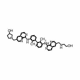 Cc1c(Nc2nccc3cc(CNCCO)cnc23)cccc1-c1cccc(Nc2nccc3cc(CN4CCC(O)C4)cnc23)c1C